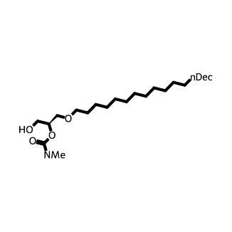 CCCCCCCCCCCCCCCCCCCCCCOC[C@H](CO)OC(=O)NC